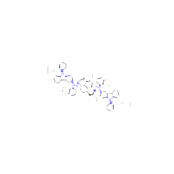 CC(C)c1cc(N(c2ccc3c(c2)c2ccccc2n3-c2ccccc2C(C)(C)C)c2cccc3c2CCCC3)c2ccc3c(C(C)C)cc(N(c4ccc5c(c4)c4ccccc4n5-c4ccccc4C(C)(C)C)c4cccc5c4CCCC5)c4ccc1c2c34